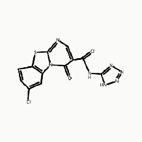 O=C(Nc1nnn[nH]1)c1cnc2sc3ccc(Cl)cc3n2c1=O